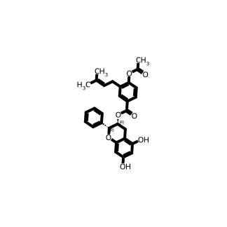 CC(=O)Oc1ccc(C(=O)O[C@@H]2Cc3c(O)cc(O)cc3O[C@@H]2c2ccccc2)cc1CC=C(C)C